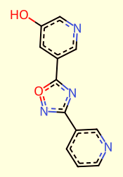 Oc1cncc(-c2nc(-c3cccnc3)no2)c1